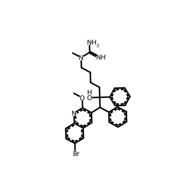 COc1nc2ccc(Br)cc2cc1C(c1ccccc1)C(O)(CCCCN(C)C(=N)N)c1ccccc1